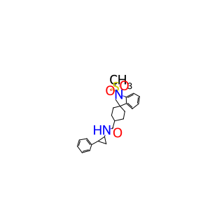 CS(=O)(=O)N1CC2(CCC(C(=O)NC3CC3c3ccccc3)CC2)c2ccccc21